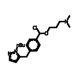 CCCCn1nccc1Cc1ccc(C(Cl)OCCCN(C)C)cc1